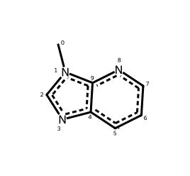 Cn1cnc2[c]ccnc21